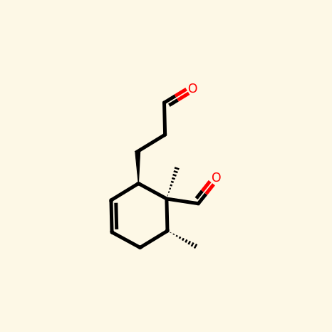 C[C@@H]1CC=C[C@@H](CCC=O)[C@@]1(C)C=O